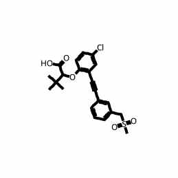 CC(C)(C)C(Oc1ccc(Cl)cc1C#Cc1cccc(CS(C)(=O)=O)c1)C(=O)O